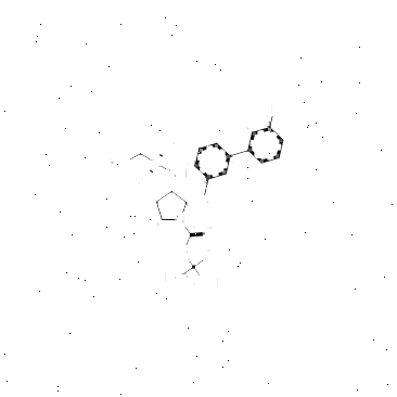 CCS(=O)(=O)N[C@H]1CCN(C(=O)OC(C)(C)C)[C@H]1Cc1cccc(-c2cccc(F)c2)c1